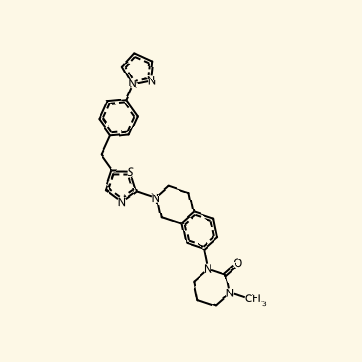 CN1CCCN(c2ccc3c(c2)CN(c2ncc(Cc4ccc(-n5cccn5)cc4)s2)CC3)C1=O